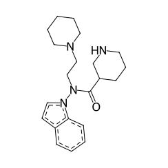 O=C(C1CCCNC1)N(CCN1CCCCC1)n1ccc2ccccc21